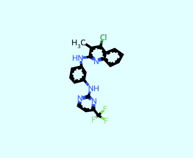 Cc1c(Nc2cccc(Nc3nccc(C(F)(F)F)n3)c2)nc2ccccc2c1Cl